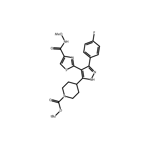 CONC(=O)c1csc(-c2c(-c3ccc(F)cc3)n[nH]c2C2CCN(C(=O)OC(C)(C)C)CC2)n1